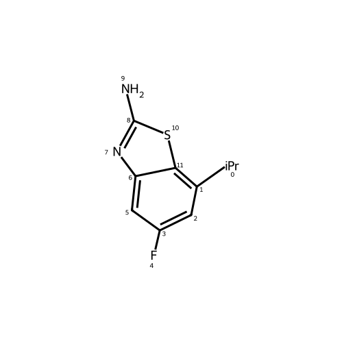 CC(C)c1cc(F)cc2nc(N)sc12